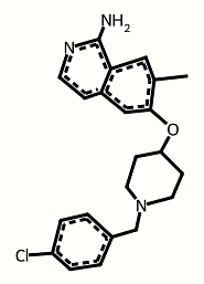 Cc1cc2c(N)nccc2cc1OC1CCN(Cc2ccc(Cl)cc2)CC1